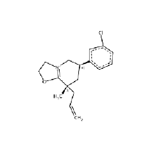 C=CC[C@@]1(C)C[C@H](c2cccc(Cl)c2)C[N+]2=C1OCC2